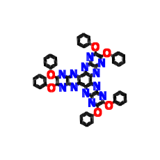 c1ccc(Oc2nc3nc4c5nc6nc(Oc7ccccc7)c(Oc7ccccc7)nc6nc5c5nc6nc(Oc7ccccc7)c(Oc7ccccc7)nc6nc5c4nc3nc2Oc2ccccc2)cc1